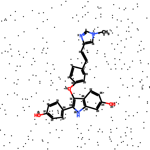 Cn1cnc(/C=C/c2ccc(Oc3c(-c4ccc(O)cc4)[nH]c4cc(O)ccc34)cc2)c1